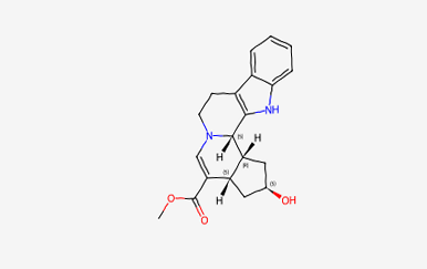 COC(=O)C1=CN2CCc3c([nH]c4ccccc34)[C@@H]2[C@@H]2C[C@@H](O)C[C@H]12